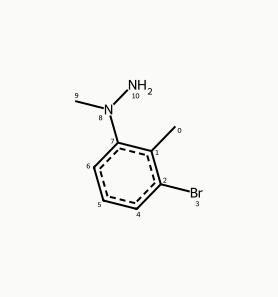 Cc1c(Br)cccc1N(C)N